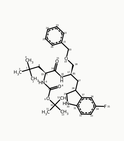 CC(C)(C)C[C@H](NC(=O)OC(C)(C)C)C(=O)N[C@@H](COCc1ccccc1)CC1CNc2ccc(F)cc21